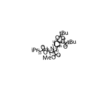 COC(=O)[C@@](N)(CCOC(=O)CC(C)C)Cc1ccc(OC(=O)C(C)(C)C)c(OC(=O)C(C)(C)C)c1